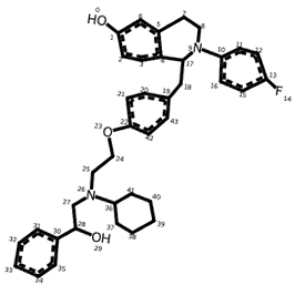 Oc1ccc2c(c1)CCN(c1ccc(F)cc1)C2Cc1ccc(OCCN(CC(O)c2ccccc2)C2CCCCC2)cc1